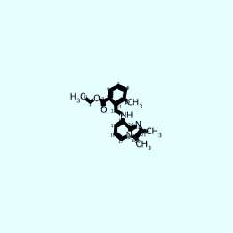 CCOC(=O)c1cccc(C)c1CNc1cccn2c(C)c(C)nc12